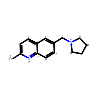 CC(C)c1ccc2cc(CN3CCCC3)ccc2n1